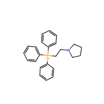 c1ccc([PH](CCN2CCCC2)(c2ccccc2)c2ccccc2)cc1